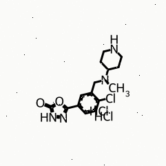 CN(Cc1cc(-c2n[nH]c(=O)o2)ccc1Cl)C1CCNCC1.Cl.Cl